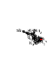 CCCCc1ccc(-c2ccc(C(=O)NCCC(=O)N[C@@H](CCCCN)C(=O)N3CCC[C@H]3C(=O)N[C@@H](N)C(=O)N[C@@H](CC(N)=O)C(=O)N[C@@H](N)B3O[C@@H]4C[C@@H]5C[C@@H](C5(C)C)[C@]4(C)O3)cc2)cc1